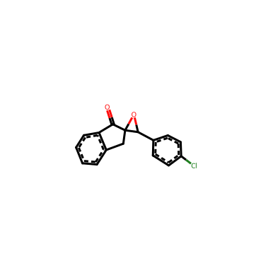 O=C1c2ccccc2CC12OC2c1ccc(Cl)cc1